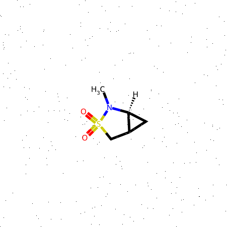 CN1[C@H]2CC2CS1(=O)=O